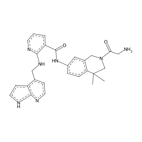 CC1(C)CN(C(=O)CN)Cc2cc(NC(=O)c3cccnc3NCc3ccnc4[nH]ccc34)ccc21